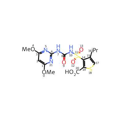 COc1cc(OC)nc(NC(=O)NS(=O)(=O)c2c(C(C)C)csc2C(=O)O)n1